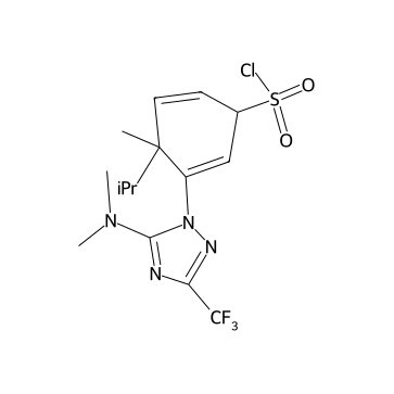 CC(C)C1(C)C=CC(S(=O)(=O)Cl)C=C1n1nc(C(F)(F)F)nc1N(C)C